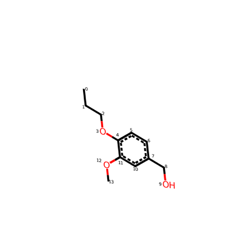 CCCOc1ccc(CO)cc1OC